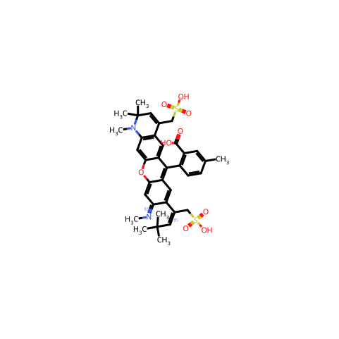 C/N=c1\cc2oc3cc4c(cc3c(-c3ccc(C)cc3C(=O)O)c-2cc1/C(=C\C(C)(C)C)CS(=O)(=O)O)C(CS(=O)(=O)O)=CC(C)(C)N4C